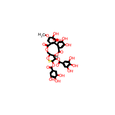 COc1cc2c(c(O)c1O)-c1c(cc(O)c(O)c1O)C(=O)O[C@@H]1C(COC2=O)OSC(OC(=O)c2cc(O)c(O)c(O)c2)C1OC(=O)c1cc(O)c(O)c(O)c1